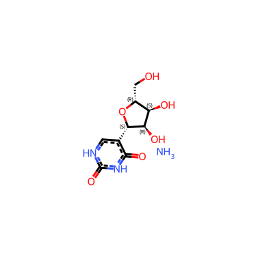 N.O=c1[nH]cc([C@@H]2O[C@H](CO)[C@@H](O)[C@H]2O)c(=O)[nH]1